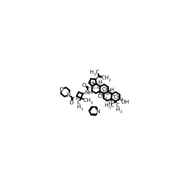 C=C(C)[C@@H]1CC[C@]2(C(=O)N[C@H]3C[C@@H](C(=O)N4CCOCC4)C3(C)C)CC[C@]3(C)[C@H](CC[C@@H]4[C@@]5(C)CC[C@H](O)C(C)(C)[C@@H]5CC[C@]43C)[C@@H]12.c1ccncc1